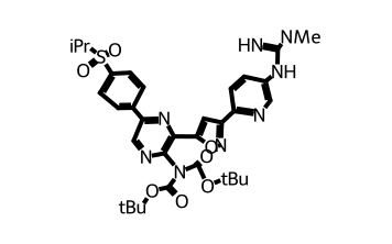 CNC(=N)Nc1ccc(-c2cc(-c3nc(-c4ccc(S(=O)(=O)C(C)C)cc4)cnc3N(C(=O)OC(C)(C)C)C(=O)OC(C)(C)C)on2)nc1